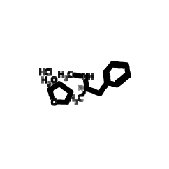 C1CCOC1.CN[C@@H](C)Cc1ccccc1.Cl.O